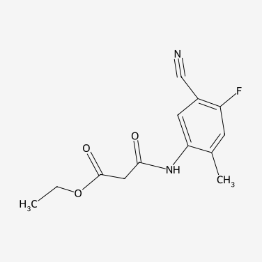 CCOC(=O)CC(=O)Nc1cc(C#N)c(F)cc1C